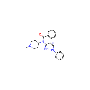 CN1CCC(N(C(=N)/C=C\Nc2ccccc2)C(=O)c2ccccc2)CC1